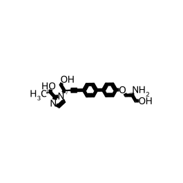 C[C@H](O)c1nccn1[C@H](C#Cc1ccc(-c2ccc(OC[C@@H](N)CO)cc2)cc1)CO